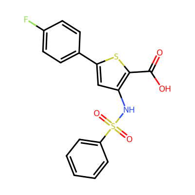 O=C(O)c1sc(-c2ccc(F)cc2)cc1NS(=O)(=O)c1ccccc1